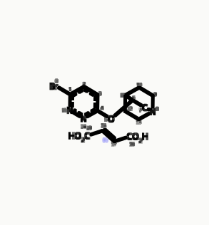 Brc1ccc(OC2CN3CCC2CC3)nn1.O=C(O)/C=C/C(=O)O